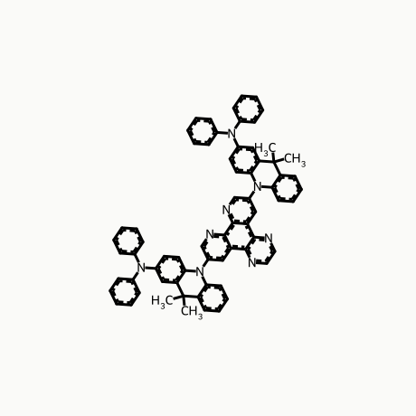 CC1(C)c2ccccc2N(c2cnc3c(c2)c2nccnc2c2cc(N4c5ccccc5C(C)(C)c5cc(N(c6ccccc6)c6ccccc6)ccc54)cnc23)c2ccc(N(c3ccccc3)c3ccccc3)cc21